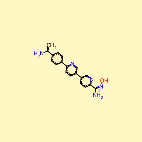 C=C(N)c1ccc(-c2ccc(-c3ccc(/C(N)=N\O)nc3)cn2)cc1